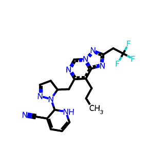 CCCc1c(CC2CC=NN2C2NC=CC=C2C#N)ncn2nc(CC(F)(F)F)nc12